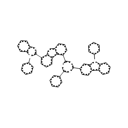 c1ccc(-c2nc(-c3ccc4c5ccccc5n(-c5ccccc5)c4c3)nc(-c3cccc4sc5c(-c6nc7ccccc7n6-c6ccccc6)cccc5c34)n2)cc1